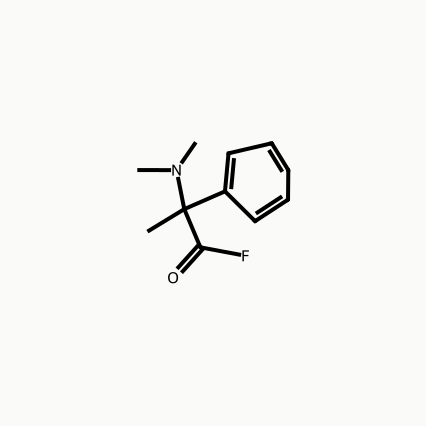 CN(C)C(C)(C(=O)F)c1ccccc1